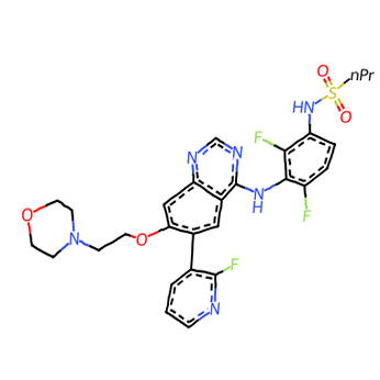 CCCS(=O)(=O)Nc1ccc(F)c(Nc2ncnc3cc(OCCN4CCOCC4)c(-c4cccnc4F)cc23)c1F